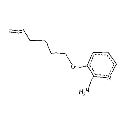 C=CCCCCOc1cccnc1N